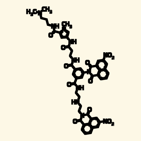 CN(C)CCCNC(=O)c1cc(NC(=O)CCNC(=O)c2cc(C(=O)NCCNCCN3C(=O)c4cccc5cc([N+](=O)[O-])cc(c45)C3=O)cc(N3C(=O)c4cccc5cc([N+](=O)[O-])cc(c45)C3=O)c2)cn1C